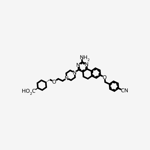 N#Cc1ccc(COc2ccc3c(c2)CCc2c-3nc(N)nc2N2CCN(CCOC[C@H]3CC[C@H](C(=O)O)CC3)CC2)cc1